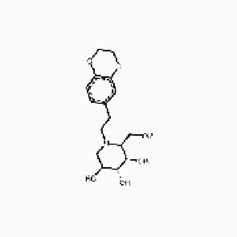 OC[C@H]1[C@@H](O)[C@H](O)[C@@H](O)CN1CCc1ccc2c(c1)OCCO2